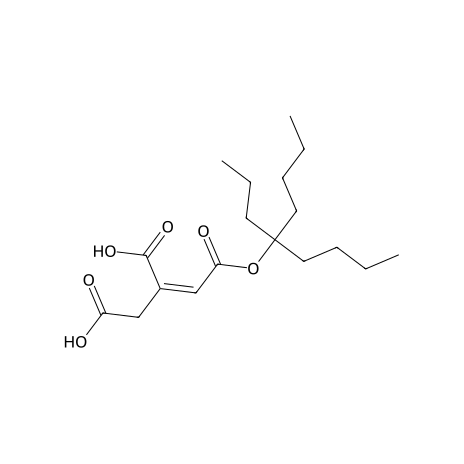 CCCCC(CCC)(CCCC)OC(=O)C=C(CC(=O)O)C(=O)O